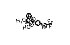 C[C@]1(c2ccccc2)C[C@@]1(NS(=O)(=O)c1ccc(-n2cc(C(F)(F)F)cn2)cc1)C(=O)O